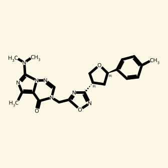 Cc1ccc([C@H]2C[C@H](c3noc(Cn4cnn5c(N(C)C)nc(C)c5c4=O)n3)CO2)cc1